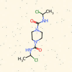 CC(Cl)NC(=O)N1CCN(C(=O)NC(C)Cl)CC1